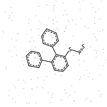 S=PSc1cccc(-c2ccccc2)c1-c1ccccc1